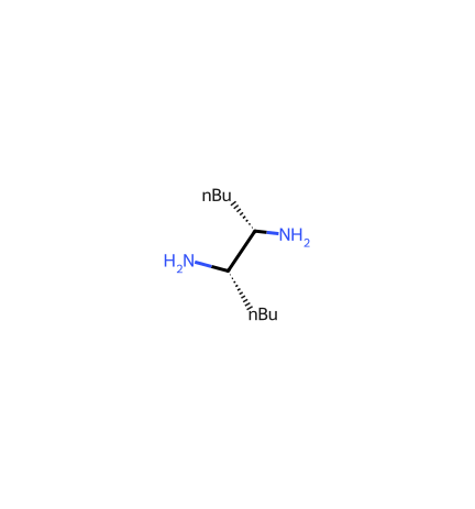 CCCC[C@H](N)[C@@H](N)CCCC